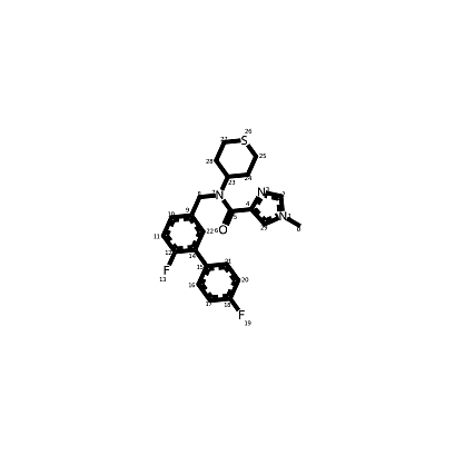 Cn1cnc(C(=O)N(Cc2ccc(F)c(-c3ccc(F)cc3)c2)C2CCSCC2)c1